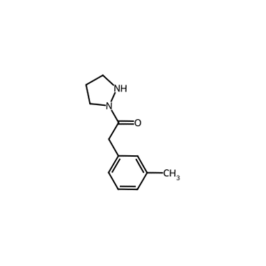 Cc1cccc(CC(=O)N2CCCN2)c1